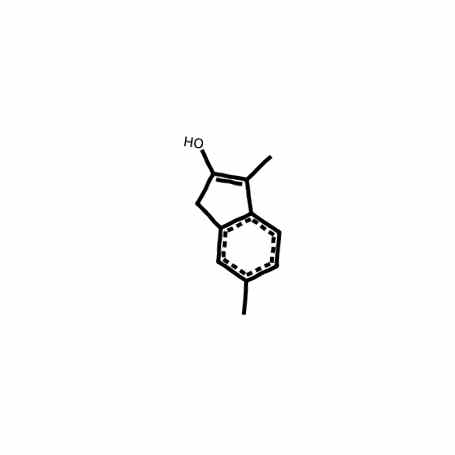 CC1=C(O)Cc2cc(C)ccc21